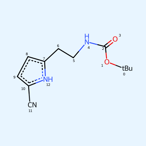 CC(C)(C)OC(=O)NCCc1ccc(C#N)[nH]1